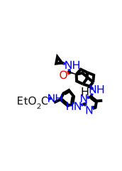 CCOC(=O)NCc1cccc(Nc2ncc(C)c(N[C@H]3C4CC5CC3C[C@@](C(=O)NC3CC3)(C5)C4)n2)c1